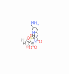 CC1(C)[C@H](C(=O)O)N2C(=O)/C(=C/c3ccc(CN)cn3)[C@H]2S1(=O)=O